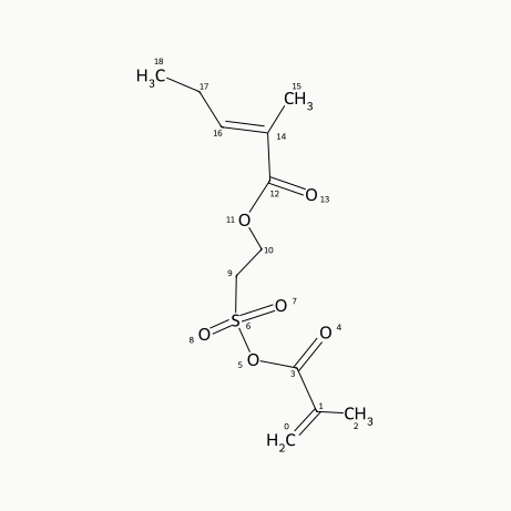 C=C(C)C(=O)OS(=O)(=O)CCOC(=O)C(C)=CCC